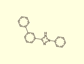 c1ccc(-c2cccc(-c3nn(-c4ccccc4)[nH]3)c2)cc1